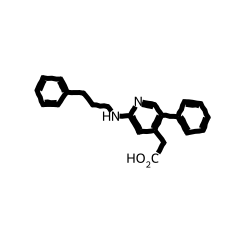 O=C(O)Cc1cc(NCCCc2ccccc2)ncc1-c1ccccc1